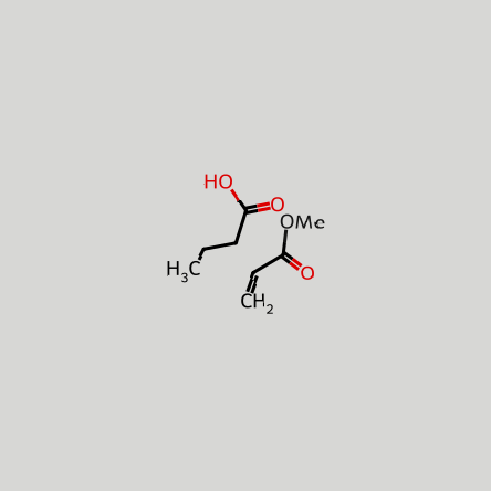 C=CC(=O)OC.CCCC(=O)O